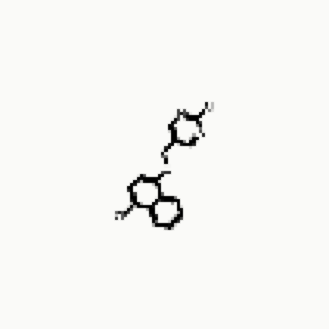 Clc1ncc(COc2ccc(Cl)c3ccccc23)cn1